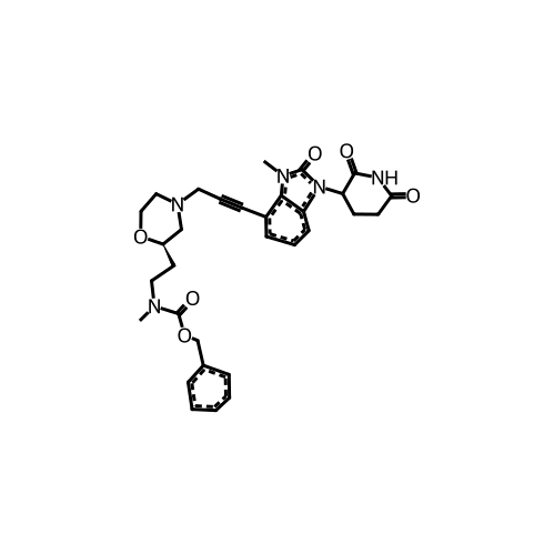 CN(CC[C@@H]1CN(CC#Cc2cccc3c2n(C)c(=O)n3C2CCC(=O)NC2=O)CCO1)C(=O)OCc1ccccc1